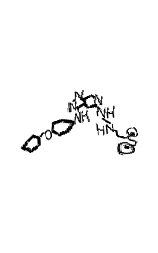 CS(=O)(=O)CCNCCNc1cc2c(Nc3ccc(OCc4ccccc4)cc3)ncnc2cn1